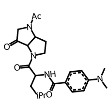 CC(=O)N1CC(=O)C2C1CCN2C(=O)C(CC(C)C)NC(=O)c1ccc(N(C)C)cc1